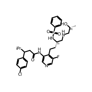 CC(C)C(CC(=O)Nc1cncc(F)c1CC[C@@H](CNC[C@@H](C)O)NS(=O)(=O)c1ccccc1)c1ccc(Cl)cc1